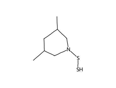 CC1CC(C)CN(SS)C1